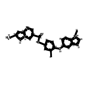 Cc1cc(OC(=O)c2cnc3cc(N)nn3c2)ccc1Oc1ccc2c(c1)ncn2C